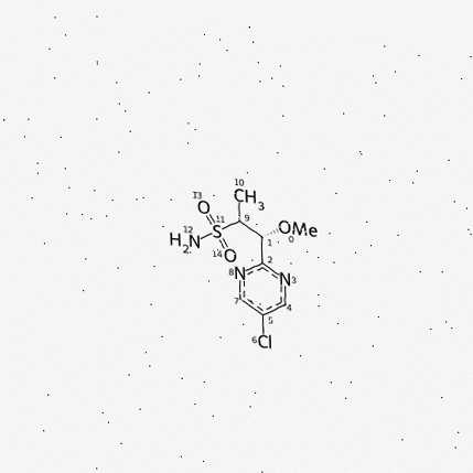 CO[C@H](c1ncc(Cl)cn1)C(C)S(N)(=O)=O